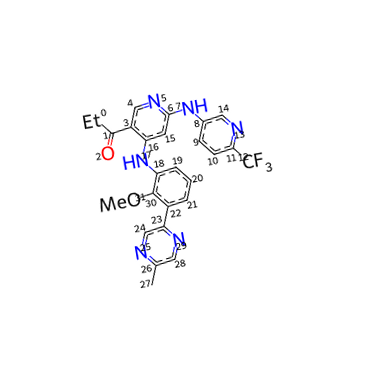 CCC(=O)c1cnc(Nc2ccc(C(F)(F)F)nc2)cc1Nc1cccc(-c2cnc(C)cn2)c1OC